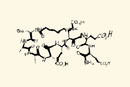 CCCCCCCCCCCCCCCC(=O)N[C@H](C(=O)N[C@@H](C)C(=O)N[C@@H](C)C(=O)N[C@@H](C)C(=O)N[C@@H](CCC(=O)O)C(=O)N[C@@H](CCC(=O)O)C(=O)N[C@@H](CCC(=O)O)C(=O)N[C@@H](CCC(=O)O)C(N)=O)[C@@H](C)CC